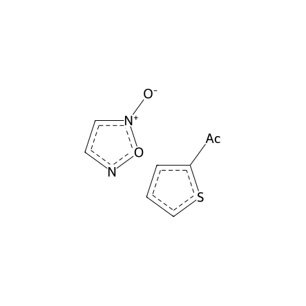 CC(=O)c1cccs1.[O-][n+]1ccno1